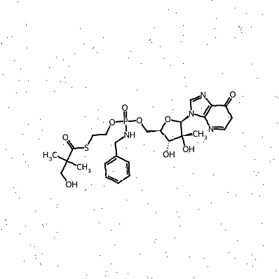 CC(C)(CO)C(=O)SCCOP(=O)(NCc1ccccc1)OC[C@H]1O[C@@H](n2cnc3c2N=CCC3=O)[C@](C)(O)[C@@H]1O